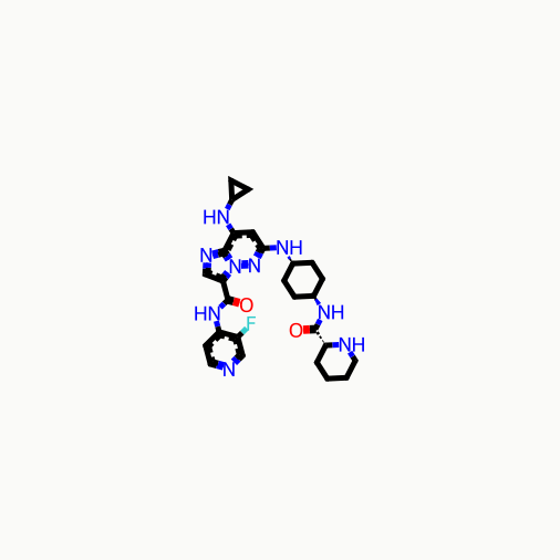 O=C(Nc1ccncc1F)c1cnc2c(NC3CC3)cc(N[C@H]3CC[C@H](NC(=O)[C@H]4CCCCN4)CC3)nn12